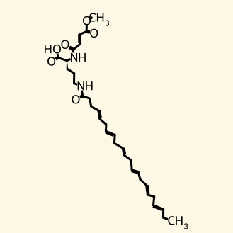 CCC=CCC=CCC=CCC=CCC=CCC=CCCC(=O)NCCC[C@H](NC(=O)C=CC(=O)OC)C(=O)O